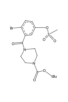 CC(C)(C)OC(=O)N1CCN(C(=O)c2cc(OS(C)(=O)=O)ccc2Br)CC1